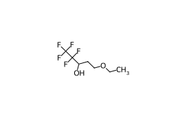 CCOCCC(O)C(F)(F)C(F)(F)F